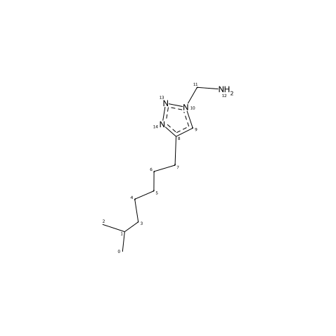 CC(C)CCCCCc1cn(CN)nn1